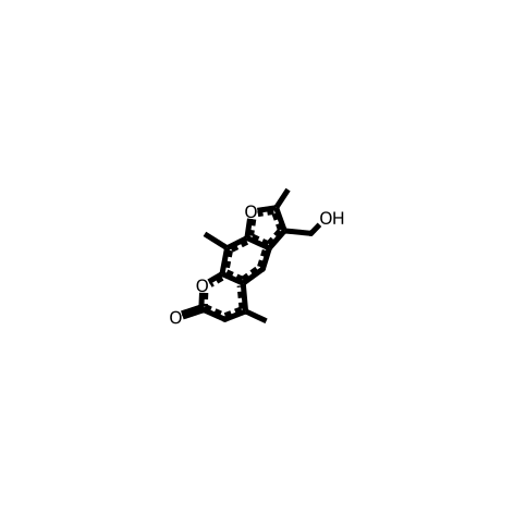 Cc1oc2c(C)c3oc(=O)cc(C)c3cc2c1CO